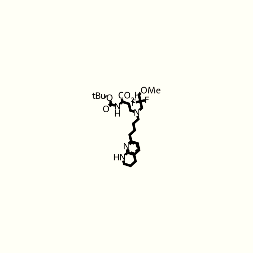 COCC(F)(F)CN(CCCCc1ccc2c(n1)NCCC2)CCC(NC(=O)OC(C)(C)C)C(=O)O